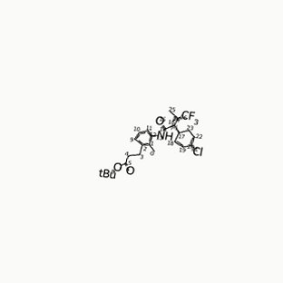 Cc1c(CCC(=O)OC(C)(C)C)cccc1NC(=O)[C@H](C1C=CC(Cl)=CC1)[C@@H](C)C(F)(F)F